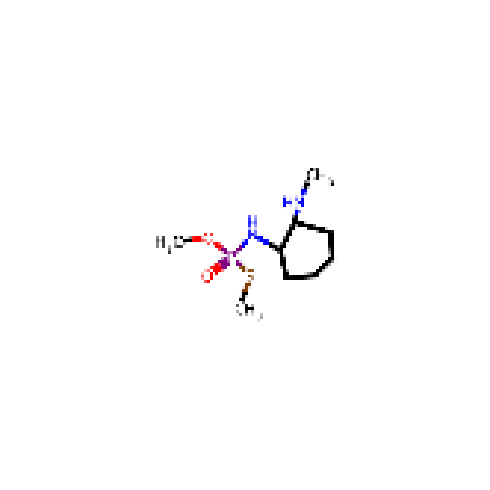 CNC1CCCCC1NP(=O)(OC)SC